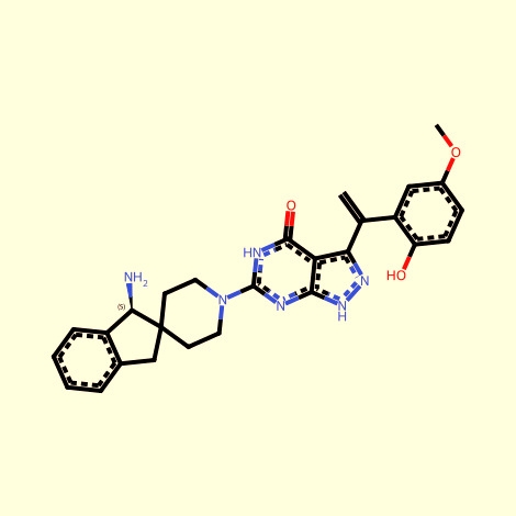 C=C(c1cc(OC)ccc1O)c1n[nH]c2nc(N3CCC4(CC3)Cc3ccccc3[C@H]4N)[nH]c(=O)c12